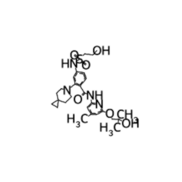 Cc1cc(NC(=O)c2ccc(NS(=O)(=O)CCO)cc2N2CCC3(CC2)CC3)nc(OCC(C)(C)O)c1